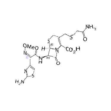 CO/N=C(\C(=O)N[C@@H]1C(=O)N2C(C(=O)O)=C(CSCC(N)=O)CS[C@H]12)c1csc(N)n1